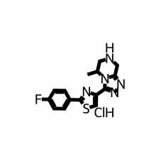 CC1CNCc2nnc(-c3csc(-c4ccc(F)cc4)n3)n21.Cl